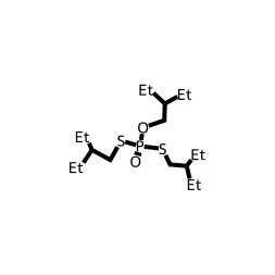 CCC(CC)COP(=O)(SCC(CC)CC)SCC(CC)CC